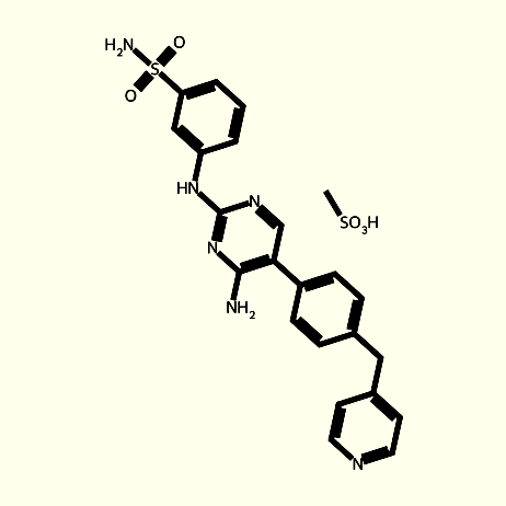 CS(=O)(=O)O.Nc1nc(Nc2cccc(S(N)(=O)=O)c2)ncc1-c1ccc(Cc2ccncc2)cc1